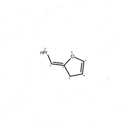 CCCC=C1CC=CO1